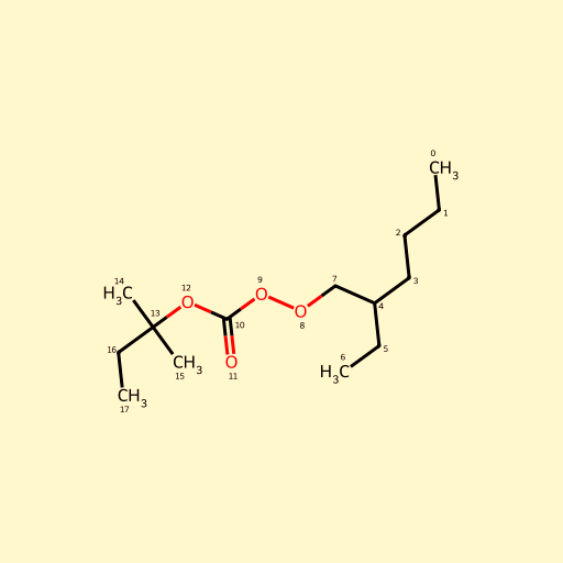 CCCCC(CC)COOC(=O)OC(C)(C)CC